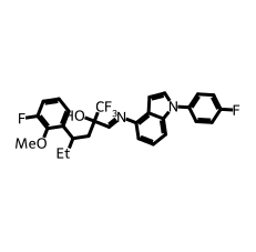 CCC(CC(O)(/C=N/c1cccc2c1ccn2-c1ccc(F)cc1)C(F)(F)F)c1cccc(F)c1OC